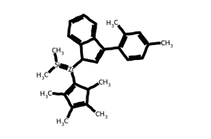 CC1=C(C)C(C)[C]([Zr]([CH]2C=C(c3ccc(C)cc3C)c3ccccc32)=[Si](C)C)=C1C